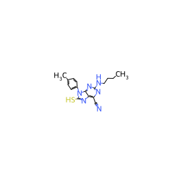 CCCCNc1nc(C#N)c2nc(S)n(-c3ccc(C)cc3)c2n1